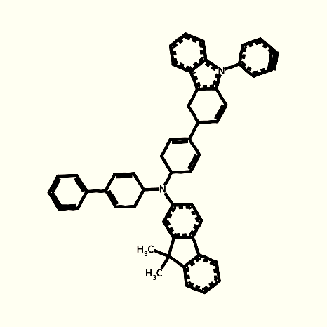 CC1(C)c2ccccc2-c2ccc(N(C3C=CC(C4=CC=C=C=C4)=CC3)C3C=CC(C4C=Cc5c(c6ccccc6n5-c5cc#ccc5)C4)=CC3)cc21